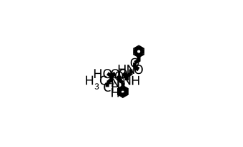 CC(C)[C@H](NC(=O)C(NC(=O)CNC(=O)OCc1ccccc1)c1ccccc1)C(=O)O